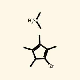 CC1=C(C)C(C)[C]([Zr])=C1C.C[SiH2]C